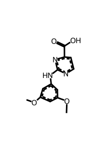 COc1cc(Nc2nccc(C(=O)O)n2)cc(OC)c1